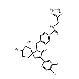 CCC[C@H](c1ccc(C(=O)NCc2nn[nH]n2)cc1)N1C(=O)C(c2ccc(Cl)c(F)c2)=NC12CCC(C(C)C)CC2